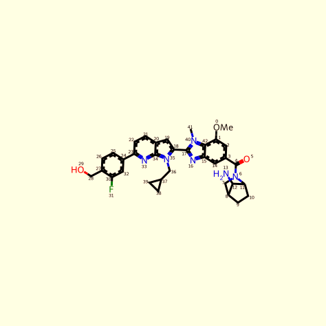 COc1cc(C(=O)N2CC3CCC2C3N)cc2nc(-c3cc4ccc(-c5ccc(CO)c(F)c5)nc4n3CC3CC3)n(C)c12